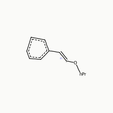 CCCO/[C]=C/c1ccccc1